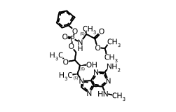 CNc1nc(N)nc2c1ncn2[C@@H](C)[C@H](O)C(COP(=O)(N[C@@H](C)C(=O)OC(C)C)Oc1ccccc1)OC